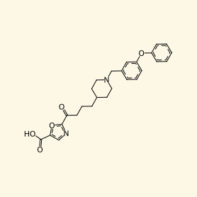 O=C(O)c1cnc(C(=O)CCCC2CCN(Cc3cccc(Oc4ccccc4)c3)CC2)o1